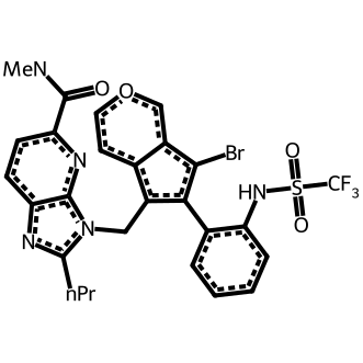 CCCc1nc2ccc(C(=O)NC)nc2n1Cc1c2ccocc-2c(Br)c1-c1ccccc1NS(=O)(=O)C(F)(F)F